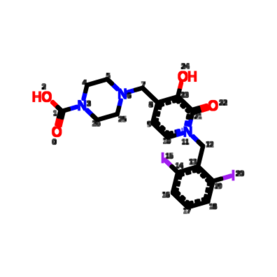 O=C(O)N1CCN(Cc2ccn(Cc3c(I)cccc3I)c(=O)c2O)CC1